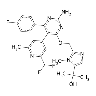 Cc1cc(-c2c(OCc3ncc(C(C)(C)O)n3C)nc(N)nc2-c2ccc(F)cc2)cc(C(F)F)n1